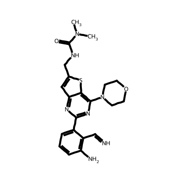 CN(C)C(=O)NCc1cc2nc(-c3cccc(N)c3C=N)nc(N3CCOCC3)c2s1